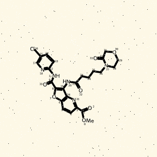 COC(=O)c1ccc2oc(C(=O)Nc3ccc(Cl)cn3)c(NC(=O)CCCCN3CCOCC3=O)c2n1